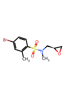 Cc1cc(Br)ccc1S(=O)(=O)N(C)C[C@H]1CO1